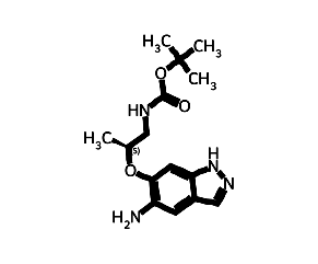 C[C@@H](CNC(=O)OC(C)(C)C)Oc1cc2[nH]ncc2cc1N